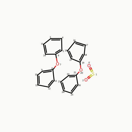 O=S=O.c1ccc(Oc2ccccc2)cc1.c1ccc(Oc2ccccc2)cc1